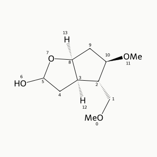 COC[C@@H]1[C@H]2CC(O)O[C@H]2C[C@H]1OC